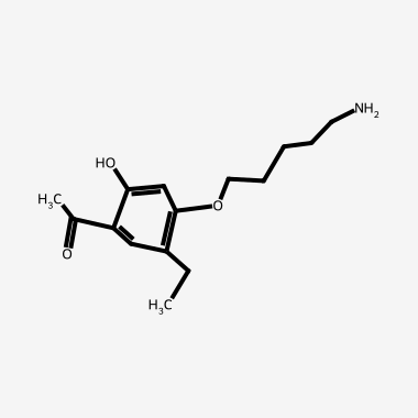 CCc1cc(C(C)=O)c(O)cc1OCCCCCN